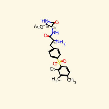 CCc1c(S(=O)(=O)c2ccc(C[C@H](N)C(=O)N[C@@H]3C(=O)N[C@H]3OC(C)=O)cc2)ccc(C)c1C